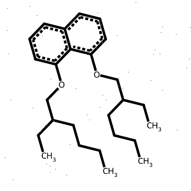 CCCCC(CC)COc1cccc2cccc(OCC(CC)CCCC)c12